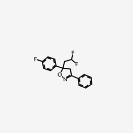 Fc1ccc(C2(CC(F)F)CC(c3ccccc3)=NO2)cc1